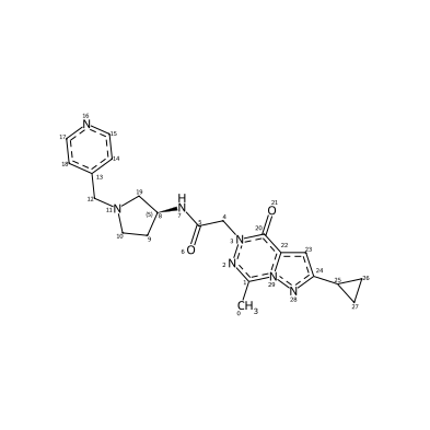 Cc1nn(CC(=O)N[C@H]2CCN(Cc3ccncc3)C2)c(=O)c2cc(C3CC3)nn12